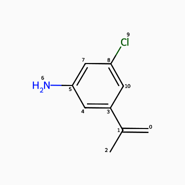 C=C(C)c1cc(N)cc(Cl)c1